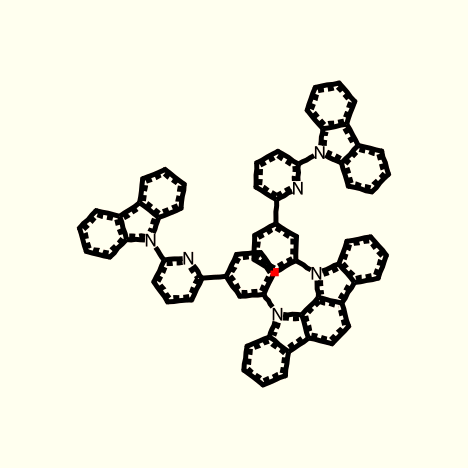 c1cc(-c2cccc(-n3c4ccccc4c4ccccc43)n2)cc(-n2c3ccccc3c3ccc4c5ccccc5n(-c5cccc(-c6cccc(-n7c8ccccc8c8ccccc87)n6)c5)c4c32)c1